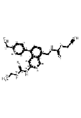 C#CCOC(=O)NCc1ccc(-c2ccc(CO)nc2)c2cc(NC(=O)NCC)ncc12